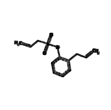 C=CCc1ccccc1[N]S(=O)(=O)CC=C